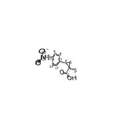 CC1(C(=O)O)CC1c1ccc([N+](=O)[O-])cc1